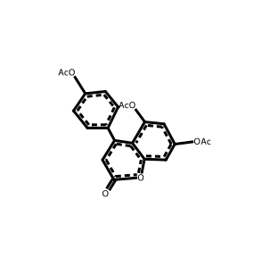 CC(=O)Oc1ccc(-c2cc(=O)oc3cc(OC(C)=O)cc(OC(C)=O)c23)cc1